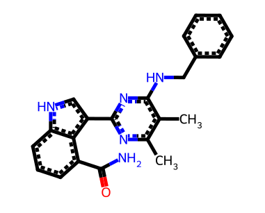 Cc1nc(-c2c[nH]c3cccc(C(N)=O)c23)nc(NCc2ccccc2)c1C